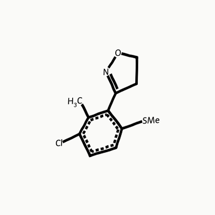 CSc1ccc(Cl)c(C)c1C1=NOCC1